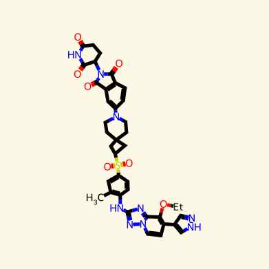 CCOc1c(-c2cn[nH]c2)ccn2nc(Nc3ccc(S(=O)(=O)C4CC5(CCN(c6ccc7c(c6)C(=O)N(C6CCC(=O)NC6=O)C7=O)CC5)C4)cc3C)nc12